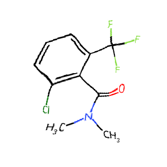 CN(C)C(=O)c1c(Cl)cccc1C(F)(F)F